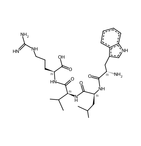 CC(C)C[C@H](NC(=O)[C@@H](N)Cc1c[nH]c2ccccc12)C(=O)N[C@H](C(=O)N[C@@H](CCCNC(=N)N)C(=O)O)C(C)C